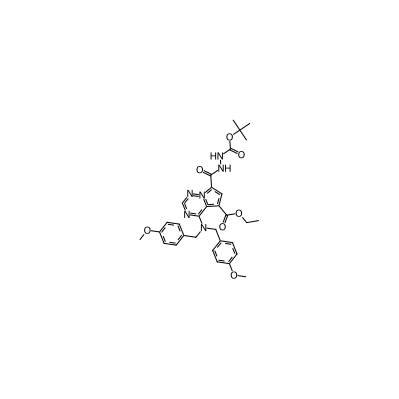 CCOC(=O)c1cc(C(=O)NNC(=O)OC(C)(C)C)n2ncnc(N(Cc3ccc(OC)cc3)Cc3ccc(OC)cc3)c12